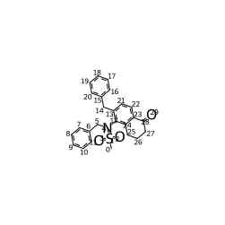 CS(=O)(=O)N(Cc1ccccc1)c1c(Cc2ccccc2)ccc2c1CCCC2=O